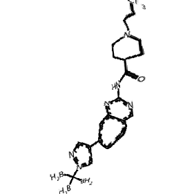 BC(B)(B)n1cc(-c2ccc3cnc(NC(=O)C4CCN(CCC(F)(F)F)CC4)nc3c2)cn1